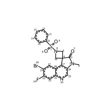 CN1C(=O)C2(CN(S(=O)(=O)c3ccccc3)C2)c2c1cnc1cc(F)c(Br)cc21